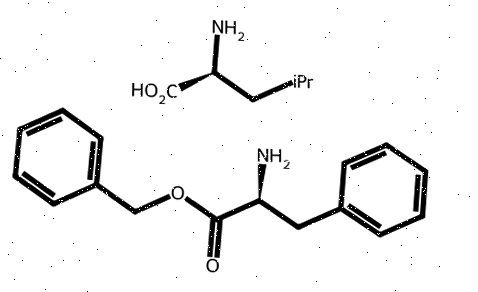 CC(C)C[C@H](N)C(=O)O.N[C@@H](Cc1ccccc1)C(=O)OCc1ccccc1